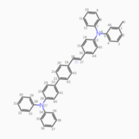 Cc1cccc(N(c2ccccc2)c2ccc(/C=C/c3ccc(-c4ccc(N(c5ccccc5)c5ccccc5)cc4)cc3)cc2)c1